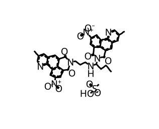 CCCC(NCCCN1C(=O)c2cc([N+](=O)[O-])cc3c2c(cc2cc(C)cnc23)C1=O)N1C(=O)c2cc([N+](=O)[O-])cc3c2c(cc2cc(C)cnc23)C1=O.CS(=O)(=O)O